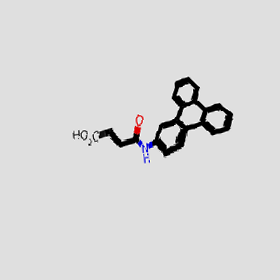 O=C(O)CCC(=O)Nc1ccc2c3ccccc3c3ccccc3c2c1